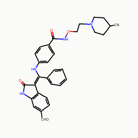 N#CC1CCN(CCONC(=O)c2ccc(N/C(=C3\C(=O)Nc4cc(C=O)ccc43)c3ccccc3)cc2)CC1